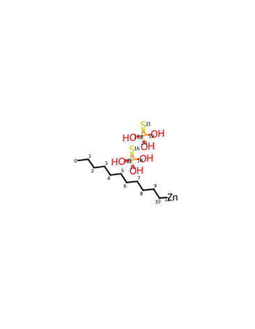 CCCCCCCCCC[CH2][Zn].OP(O)(O)=S.OP(O)(O)=S